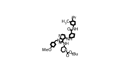 COc1ccc(Cn2nc(NC3CCCN(C(=O)OC(C)(C)C)C3)c3c(Nc4cccc(C(=O)Nc5ccc(C(C)C)c(C)c5)c4)ccnc32)cc1